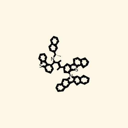 CC(/C(=N\[C@@H](C)c1ccc2ccccc2c1)c1cccc2sc3ccccc3c12)=C(/C)c1cc(-n2c3cc4ccccc4cc3c3cc4ccccc4cc32)c2sc3c4ccccc4ccc3c2c1